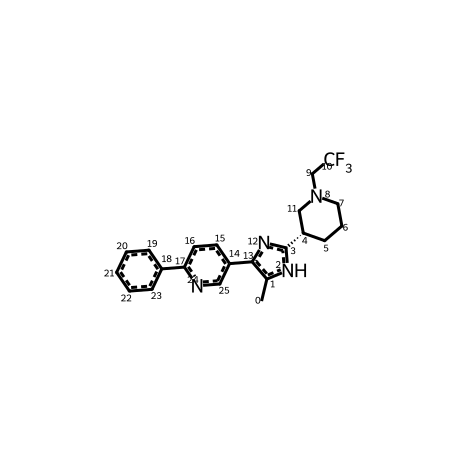 Cc1[nH]c([C@H]2CCCN(CC(F)(F)F)C2)nc1-c1ccc(-c2ccccc2)nc1